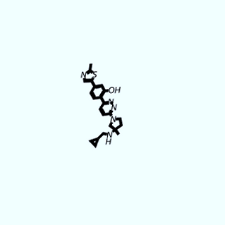 Cc1ncc(-c2ccc(-c3ccc(N4CCC(C)(NCC5CC5)C4)nn3)c(O)c2)s1